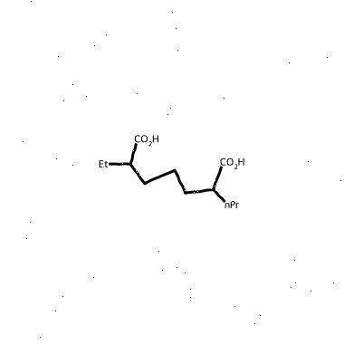 CCCC(CCCC(CC)C(=O)O)C(=O)O